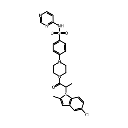 Cc1cc2cc(Cl)ccc2n1C(C)C(=O)N1CCN(c2ccc(S(=O)(=O)Nc3ccncn3)cc2)CC1